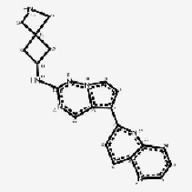 c1cnc2ccc(-c3ccn4nc(NC5CC6(CNC6)C5)ncc34)nc2c1